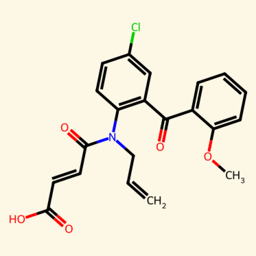 C=CCN(C(=O)C=CC(=O)O)c1ccc(Cl)cc1C(=O)c1ccccc1OC